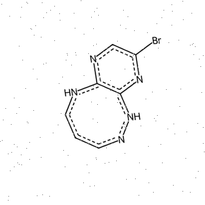 Brc1cnc2[nH]cccn[nH]c2n1